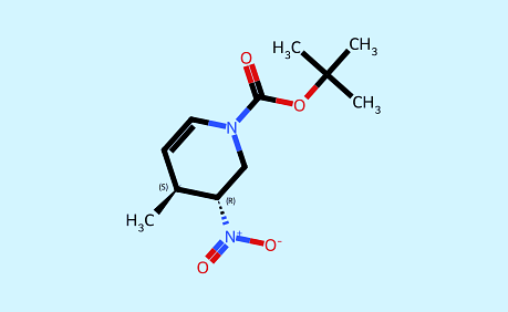 C[C@H]1C=CN(C(=O)OC(C)(C)C)C[C@@H]1[N+](=O)[O-]